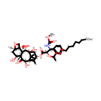 CCCCCCCCCCCCCCCCCCCC(C)O[C@@H](C(=O)O[C@H]1C[C@@]2(O)[C@@H](O)[C@@H]3[C@]4(O)CO[C@@H]4C[C@H](O)[C@@]3(C)C(=O)[C@H](O)C(=C1C)C2(C)C)[C@@H](NC(=O)OC(C)(C)C)c1ccccc1